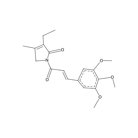 CCC1=C(C)CN(C(=O)C=Cc2cc(OC)c(OC)c(OC)c2)C1=O